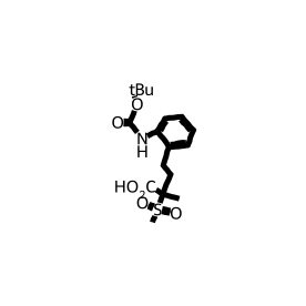 CC(C)(C)OC(=O)Nc1ccccc1CCC(C)(C(=O)O)S(C)(=O)=O